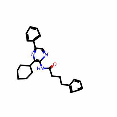 O=C(CCCc1ccccc1)Nc1ncc(-c2ccccc2)nc1C1CCCCC1